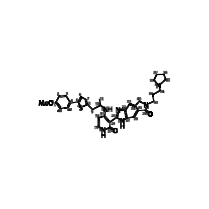 COc1ccc(-c2ccc(CC(C)Nc3cc[nH]c(=O)c3-c3nc4cc5c(cc4[nH]3)C(=O)N(CCCN3CCCC3)C5)s2)cc1